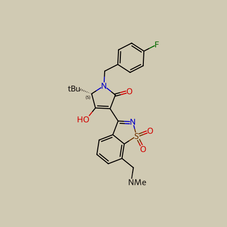 CNCc1cccc2c1S(=O)(=O)N=C2C1=C(O)[C@H](C(C)(C)C)N(Cc2ccc(F)cc2)C1=O